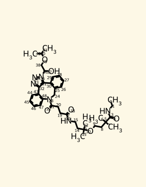 CCNC(=O)C(C)(C)CCOC(C)(C)CCNC(=O)CCC(=O)N1Cc2ccccc2-c2c(nnn2C(O)COC(C)C)-c2ccccc21